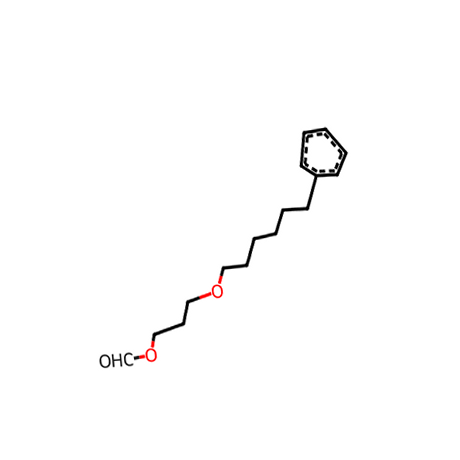 O=COCCCOCCCCCCc1ccccc1